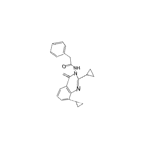 C=C1c2cccc(C3CC3)c2N=C(C2CC2)N1NC(=O)Cc1ccccc1